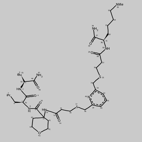 CC[C@H](C)[C@H](NC(=O)[C@H](CC(C)C)NC(=O)C1(NC(=O)CCSCc2cccc(CSCCC(=O)N[C@H](CCCCNC)C(N)=O)n2)CCOCC1)C(N)=O